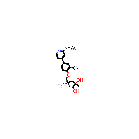 CC(=O)Nc1cc(-c2ccc(OC[C@@](C)(N)CC(C)(O)CO)c(C#N)c2)ccn1